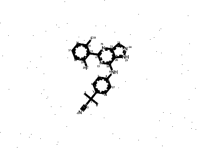 CC(C)(C#N)c1ccc(Nc2nc(-c3c(F)cccc3F)nc3cn[nH]c23)cc1